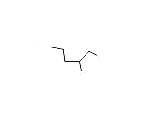 CCCCCCCCCCCCC(CC=O)CCCCCCCCCC